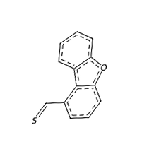 S=Cc1cccc2oc3ccccc3c12